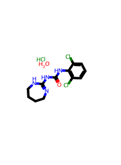 Cl.O.O=C(NC1=NCCCCN1)Nc1c(Cl)cccc1Cl